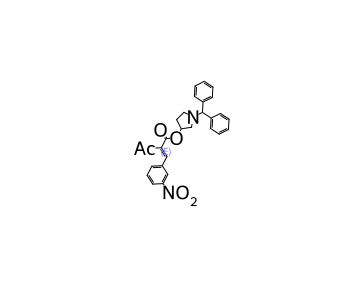 CC(=O)/C(=C\c1cccc([N+](=O)[O-])c1)C(=O)OC1CCN(C(c2ccccc2)c2ccccc2)C1